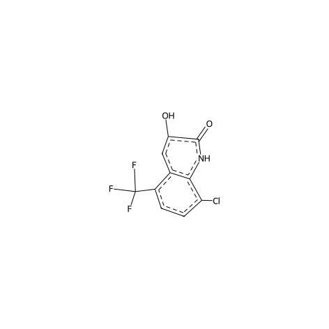 O=c1[nH]c2c(Cl)ccc(C(F)(F)F)c2cc1O